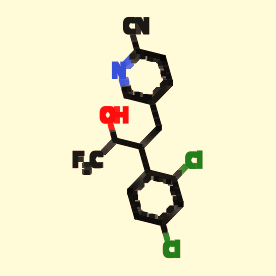 N#Cc1ccc(CC(c2ccc(Cl)cc2Cl)C(O)C(F)(F)F)cn1